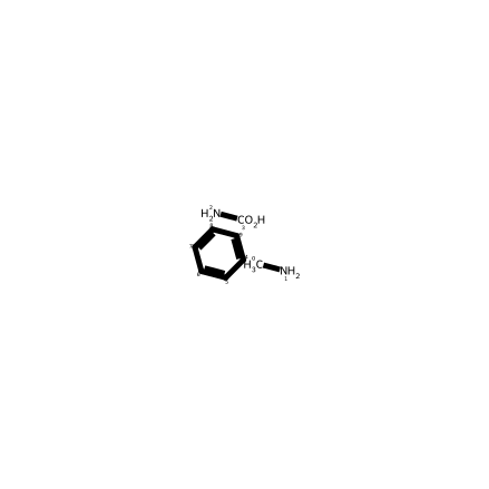 CN.NC(=O)O.c1ccccc1